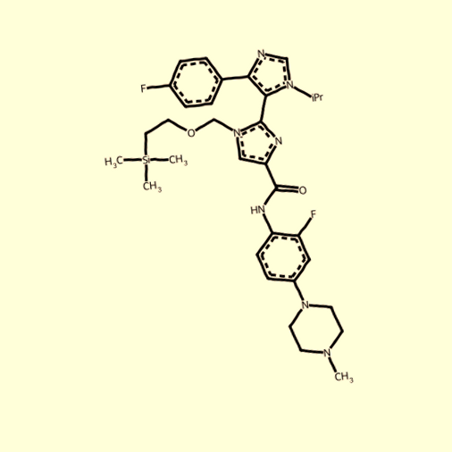 CC(C)n1cnc(-c2ccc(F)cc2)c1-c1nc(C(=O)Nc2ccc(N3CCN(C)CC3)cc2F)cn1COCC[Si](C)(C)C